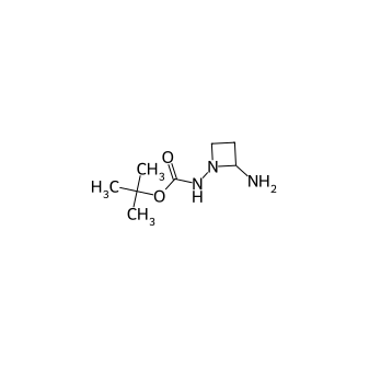 CC(C)(C)OC(=O)NN1CCC1N